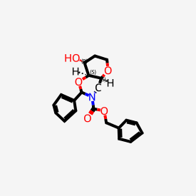 O=C(OCc1ccccc1)N1C[C@@H]2OCC[C@@H](O)[C@@H]2OC1c1ccccc1